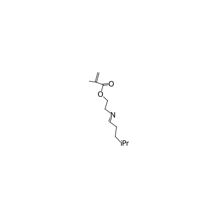 C=C(C)C(=O)OCCN=CCCC(C)C